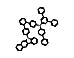 C1=C(c2ccccc2)CCC(N(c2ccc(-c3ccccc3-c3ccc(-n4c5ccccc5c5cc6ccccc6cc54)cc3)cc2)c2cc(-c3ccccc3)cc(-c3ccccc3)c2)=C1